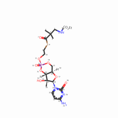 CCOC(=O)NCC(C)(C)C(=O)SCCO[P@@]1(=O)OC[C@H]2O[C@@H](n3ccc(N)nc3=O)[C@](C)(O)[C@@H]2O1